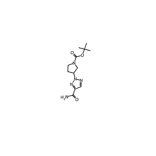 CC(C)(C)OC(=O)N1CCC(n2ncc(C(N)=O)n2)C1